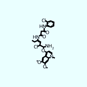 CC/C(=C\C(Cl)C(N)OC1=C2C=C(OC)C(OC)=CC2N(C)C=C1)NC(=O)CC(=O)Nc1ccccc1Cl